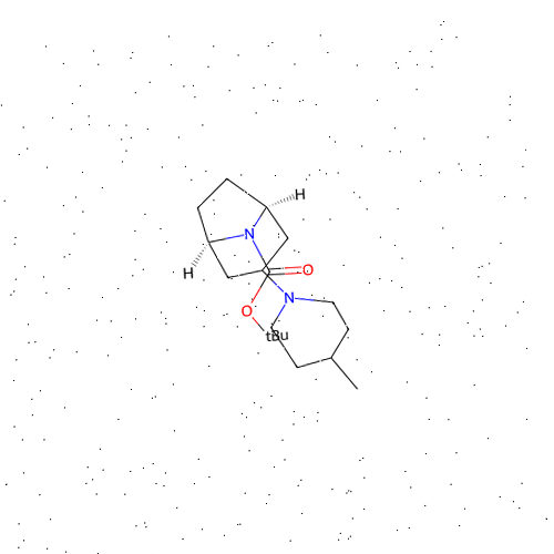 CC1CCN(C2C[C@H]3CC[C@@H](C2)N3C(=O)OC(C)(C)C)CC1